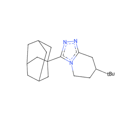 CC(C)(C)C1CCn2c(nnc2C23CC4CC(CC(C4)C2)C3)C1